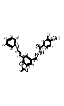 CC1Oc2cc(/C=N/NC(=O)c3ccc(O)c(Cl)c3)cc(/C=C/COc3ccccc3)c2O1